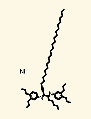 CCCCCCCCCCCCCCCCCCCCCCCCC#CC(=N\c1ccc(CCC)c(CCC)c1)/C(CCCCC)=N/c1ccc(CCC)c(CCC)c1.[Ni]